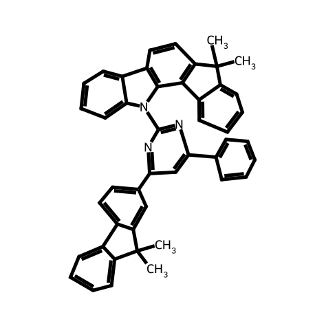 CC1(C)c2ccccc2-c2ccc(-c3cc(-c4ccccc4)nc(-n4c5ccccc5c5ccc6c(c54)-c4ccccc4C6(C)C)n3)cc21